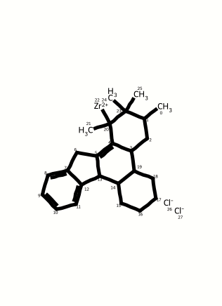 CC1CC2C(=C3Cc4ccccc4C3C3CCCCC23)[C](C)([Zr+2])C1(C)C.[Cl-].[Cl-]